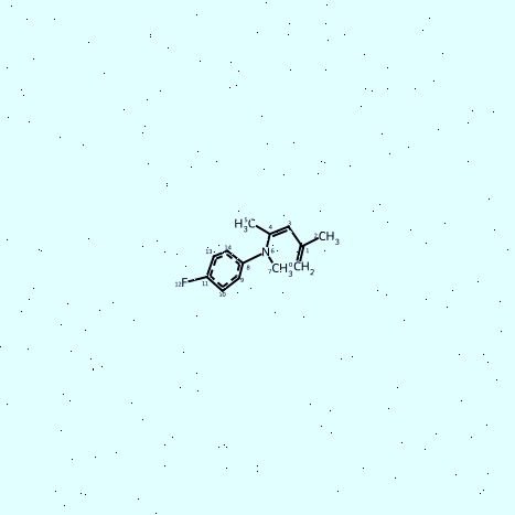 C=C(C)/C=C(/C)N(C)c1ccc(F)cc1